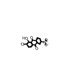 O=C1c2cc([N+](=O)[O-])ccc2C(=O)c2c1ccc(Cl)c2O